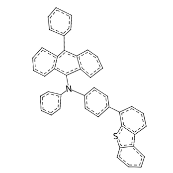 c1ccc(-c2c3ccccc3c(N(c3ccccc3)c3ccc(-c4cccc5c4sc4ccccc45)cc3)c3ccccc23)cc1